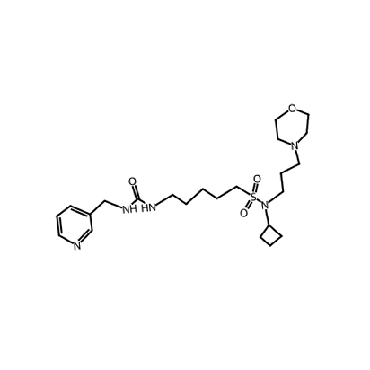 O=C(NCCCCCS(=O)(=O)N(CCCN1CCOCC1)C1CCC1)NCc1cccnc1